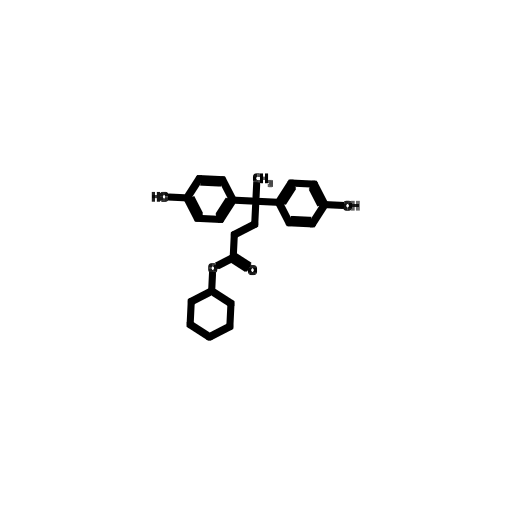 CC(CCC(=O)OC1CCCCC1)(c1ccc(O)cc1)c1ccc(O)cc1